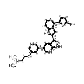 CN(C)CCOc1cncc(-c2cnc3[nH]nc(-c4cc5c(-c6ccc(F)s6)nccc5[nH]4)c3c2)c1